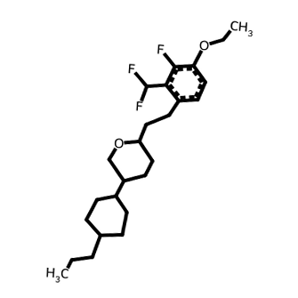 CCCC1CCC(C2CCC(CCc3ccc(OCC)c(F)c3C(F)F)OC2)CC1